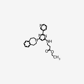 CCOC(=O)CCNc1cc(N2CCc3ccccc3CC2)nc(-c2cccnc2)n1